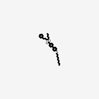 CCCCCCCCCSc1ccc(-c2ccc(C(=O)OC(CCCC)CCCc3ccccc3)cc2)cc1